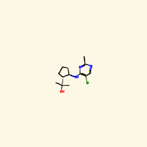 Cc1ncc(Br)c(N[C@@H]2CCC[C@H]2C(C)(C)O)n1